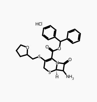 Cl.NC1C(=O)N2C(C(=O)OC(c3ccccc3)c3ccccc3)=C(SCC3CCCO3)CS[C@H]12